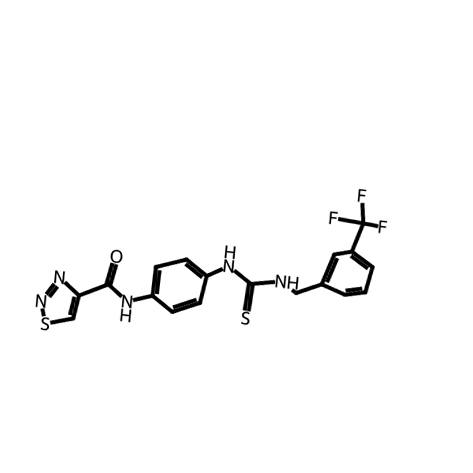 O=C(Nc1ccc(NC(=S)NCc2cccc(C(F)(F)F)c2)cc1)c1csnn1